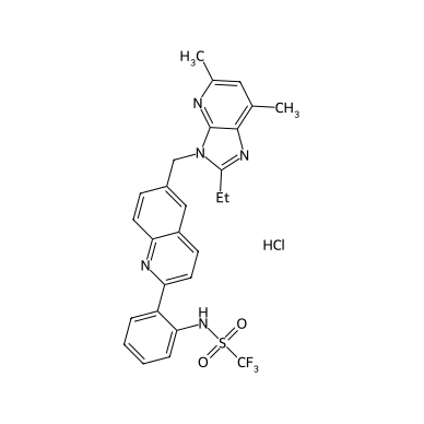 CCc1nc2c(C)cc(C)nc2n1Cc1ccc2nc(-c3ccccc3NS(=O)(=O)C(F)(F)F)ccc2c1.Cl